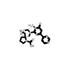 CCN(C[C@@]1(CC)CCCN1C(=O)O)c1nc(-c2ccncn2)cc(=O)n1C